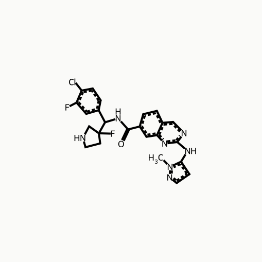 Cn1nccc1Nc1ncc2ccc(C(=O)NC(c3ccc(Cl)c(F)c3)C3(F)CCNC3)cc2n1